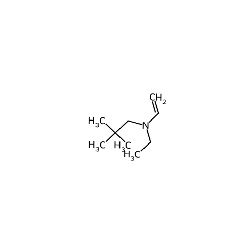 C=CN(CC)CC(C)(C)C